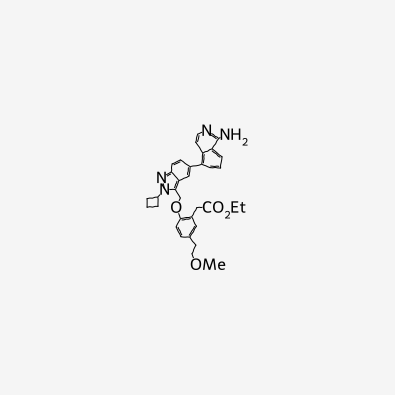 CCOC(=O)Cc1cc(CCOC)ccc1OCc1c2cc(-c3cccc4c(N)nccc34)ccc2nn1C1CCC1